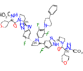 O=C(O)N[C@H](C(=O)N1CCC[C@H]1c1nc2cc([C@H]3CC[C@H](c4cc5nc([C@@H]6CCCN6C(=O)[C@@H](NC(=O)O)C6CCOCC6)[nH]c5cc4F)N3c3cc(F)c(N4CCC(c5ccccc5)CC4)c(F)c3)c(F)cc2[nH]1)C1CCOCC1